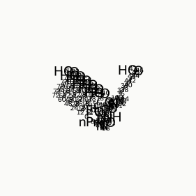 CCCCCCCCCC(=O)O.CCCCCCCCCC(=O)O.CCCCCCCCCC(=O)O.CCCCCCCCCC(=O)O.CCCCCCCCCC(=O)O.CCCCCCCCCC(=O)O.CCCCCCCCCC(=O)O.CCCc1nn(C)c2c(=O)[nH]c(-c3cc(S(=O)(=O)N4CCN(C)CC4)ccc3OCC)nc12